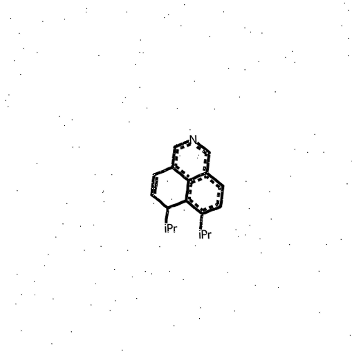 CC(C)c1ccc2cncc3c2c1C(C(C)C)C=C3